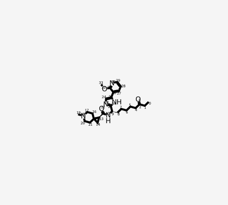 CCC(=O)CCCCC[C@H](NC(=O)[C@H]1CC12CCN(C)CC2)c1ncc(-c2cccnc2OC)[nH]1